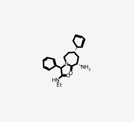 CCNC(=O)C(c1ccccc1)N1CC[C@H](C2C=CC=CC2)C[C@H](N)C1=O